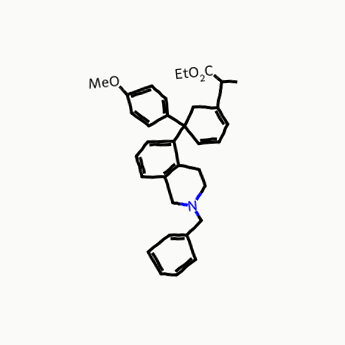 CCOC(=O)C(C)C1=CC=CC(c2ccc(OC)cc2)(c2cccc3c2CCN(Cc2ccccc2)C3)C1